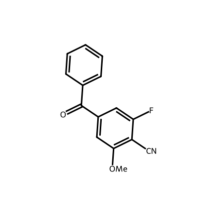 COc1cc(C(=O)c2ccccc2)cc(F)c1C#N